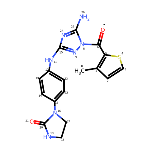 Cc1ccsc1C(=O)n1nc(Nc2ccc(N3CCNC3=O)cc2)nc1N